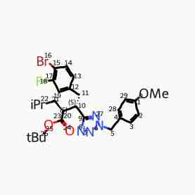 COc1ccc(Cn2nnc([C@@H](Cc3ccc(Br)c(F)c3)[C@H](CC(C)C)C(=O)OC(C)(C)C)n2)cc1